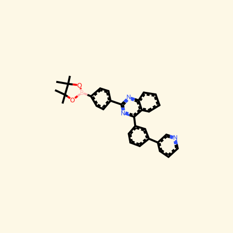 CC1(C)OB(c2ccc(-c3nc(-c4cccc(-c5cccnc5)c4)c4ccccc4n3)cc2)OC1(C)C